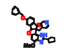 COc1ccc(C2(Cc3ccncc3)C(=O)c3ccc(OCc4ccccc4)cc3C2=O)c2[nH]c(C3CCCC3)nc12